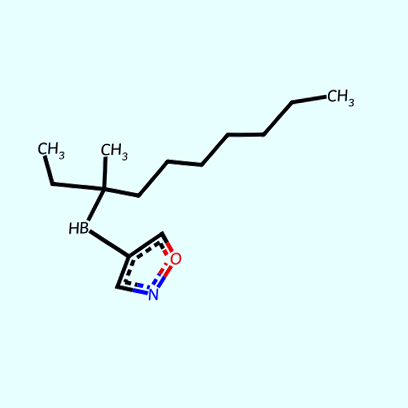 CCCCCCCC(C)(Bc1cnoc1)CC